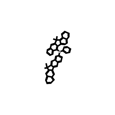 CC1(C)c2cc3ccccc3cc2-c2cc3ccc(N(c4ccccc4)c4c5c(cc6ccccc46)C(C)(C)c4c-5ccc5ccccc45)cc3cc21